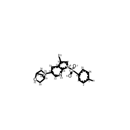 Cc1ccc(S(=O)(=O)n2cc(I)c3cc(N4CC5CC4CO5)cnc32)cc1